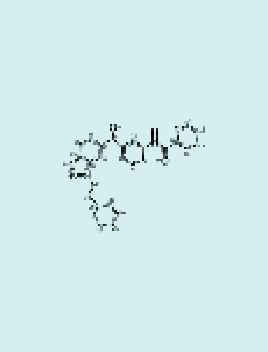 O=C(c1cccc(NC(=O)c2ccccn2)c1)c1ccc2cnn(C=Cc3ccccc3)c2c1